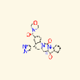 CCn1cc(-c2cc(/C=C3/C(=O)c4ccccc4N3C(C)=O)nc3ccc(C(=O)N4CCOCC4)cc23)cn1